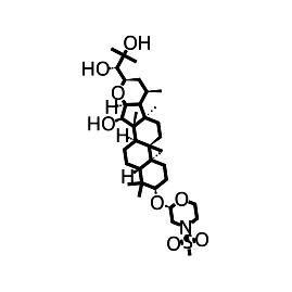 C[C@@H]1C[C@H]([C@H](O)C(C)(C)O)O[C@H]2C1[C@@]1(C)CC[C@@]34C[C@@]35CC[C@H](O[C@H]3CN(S(C)(=O)=O)CCO3)C(C)(C)[C@@H]5CC[C@H]4[C@]1(C)[C@H]2O